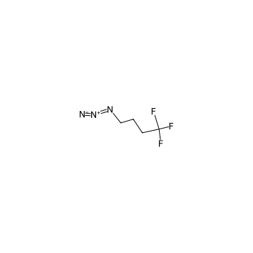 [N-]=[N+]=NCCCC(F)(F)F